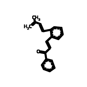 C=C(C)C=Cc1ccccc1C=CC(=O)c1ccccc1